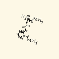 [CH2]CCc1nccnc1CCCCN(C)CCC